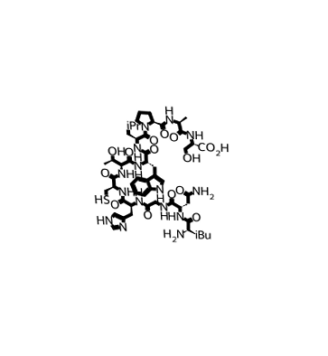 CC[C@H](C)[C@H](N)C(=O)N[C@@H](CC(N)=O)C(=O)NCC(=O)N[C@@H](Cc1c[nH]cn1)C(=O)N[C@@H](CS)C(=O)N[C@H](C(=O)N[C@@H](Cc1c[nH]c2ccccc12)C(=O)N[C@@H](CC(C)C)C(=O)N1CCC[C@H]1C(=O)N[C@@H](C)C(=O)N[C@@H](CO)C(=O)O)[C@@H](C)O